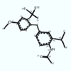 COc1ccc(Cc2ccc(NC(C)=O)c(C(C)C)c2)c(C(F)(F)F)c1